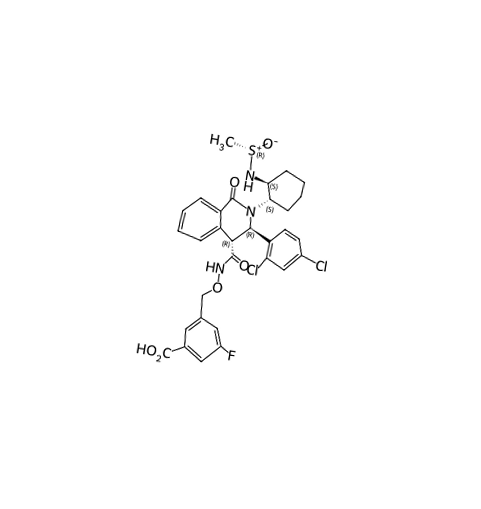 C[S@+]([O-])N[C@H]1CCCC[C@@H]1N1C(=O)c2ccccc2[C@@H](C(=O)NOCc2cc(F)cc(C(=O)O)c2)[C@@H]1c1ccc(Cl)cc1Cl